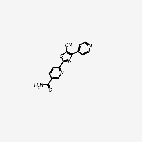 N#Cc1sc(-c2ccc(C(N)=O)cn2)nc1-c1ccncc1